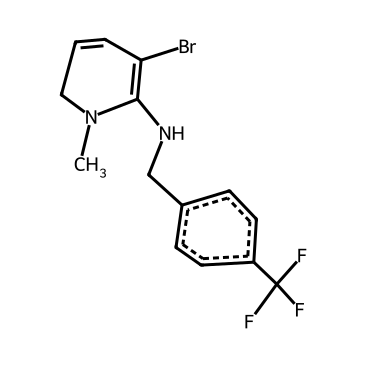 CN1CC=CC(Br)=C1NCc1ccc(C(F)(F)F)cc1